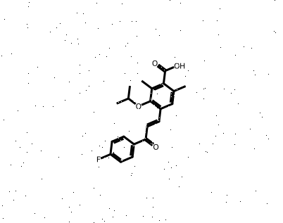 Cc1cc(/C=C/C(=O)c2ccc(F)cc2)c(OC(C)C)c(C)c1C(=O)O